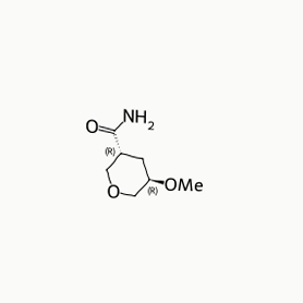 CO[C@H]1COC[C@H](C(N)=O)C1